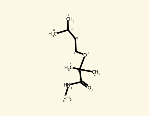 CNC(=O)C(C)(C)OCCC(C)C